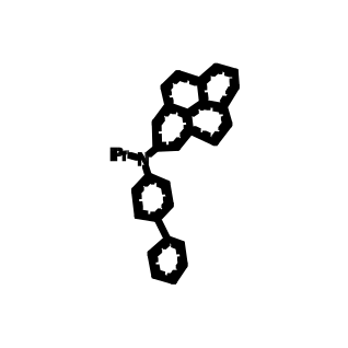 CC(C)N(c1ccc(-c2ccccc2)cc1)c1cc2ccc3cccc4ccc(c1)c2c34